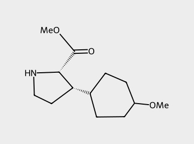 COC(=O)[C@H]1NCC[C@H]1C1CCC(OC)CC1